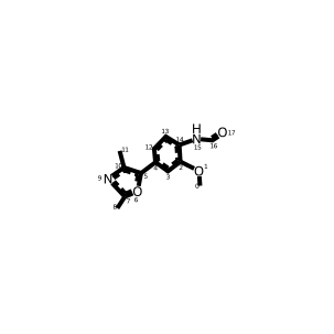 COc1cc(-c2oc(C)nc2C)ccc1NC=O